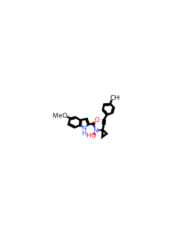 [CH]c1ccc(C#CC2(N(O)C(=O)c3cc4cc(OC)ccc4[nH]3)CC2)cc1